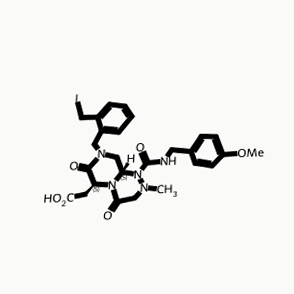 COc1ccc(CNC(=O)N2[C@H]3CN(Cc4ccccc4CI)C(=O)[C@H](CC(=O)O)N3C(=O)CN2C)cc1